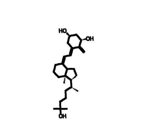 C=C1/C(=C/C=C2/CCC[C@@]3(C)C2CC[C@@H]3[C@H](C)CCCC(C)(C)O)C[C@@H](O)C[C@@H]1O